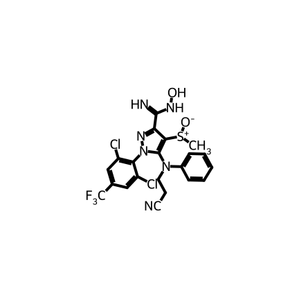 C[S+]([O-])c1c(C(=N)NO)nn(-c2c(Cl)cc(C(F)(F)F)cc2Cl)c1N(CCC#N)c1ccccc1